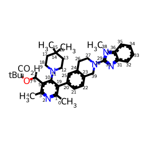 Cc1nc(C)c(C(OC(C)(C)C)C(=O)O)c(N2CCC(C)(C)CC2)c1-c1ccc2c(c1)CCN(c1nc3ccccc3n1C)C2